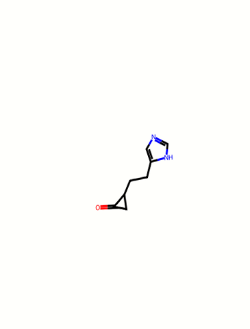 O=C1CC1CCc1cnc[nH]1